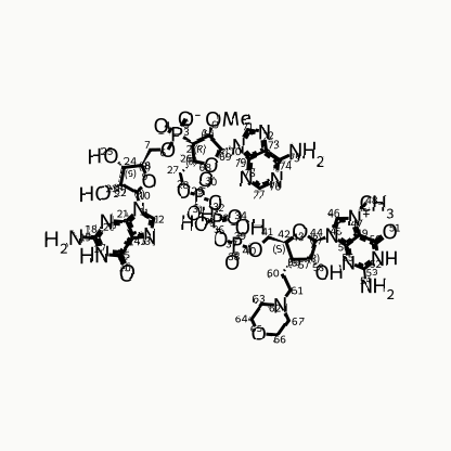 CO[C@@H]1[C@H](P(=O)([O-])OC[C@H]2O[C@@H](n3cnc4c(=O)[nH]c(N)nc43)[C@H](O)[C@@H]2O)[C@@H](COP(=O)(O)OP(=O)(O)OP(=O)(O)OC[C@H]2O[C@@H](n3c[n+](C)c4c(=O)[nH]c(N)nc43)[C@H](O)[C@@H]2CCN2CCOCC2)O[C@H]1n1cnc2c(N)ncnc21